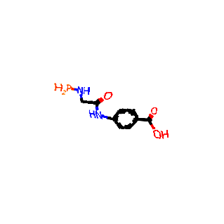 O=C(CNP)Nc1ccc(C(=O)O)cc1